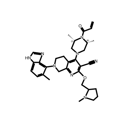 C=CC(=O)N1[C@H](C)CN(c2c(C#N)c(OCC3CCCN3C)nc3c2CCN(c2c(C)ccc4[nH]cnc24)C3)C[C@@H]1C